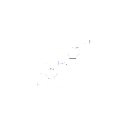 Cc1c(N=Nc2ccc(S(=O)(=O)O)cc2)cc(S(=O)(=O)O)c(N)c1C